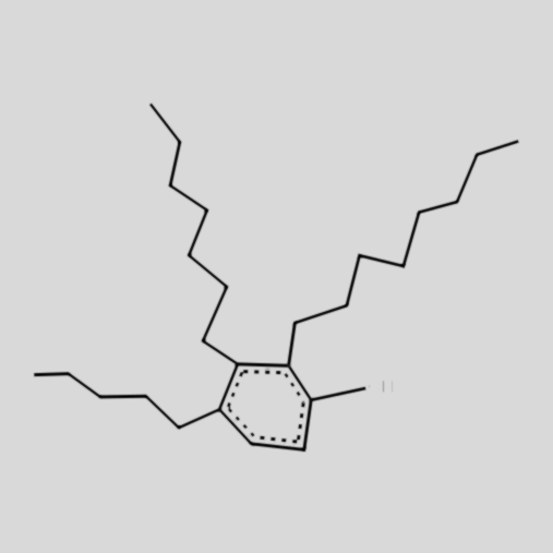 CCCCCCCCc1c(O)ccc(CCCCC)c1CCCCCCC